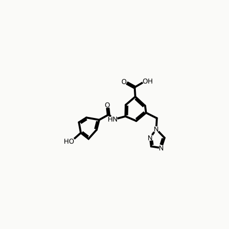 O=C(O)c1cc(Cn2cncn2)cc(NC(=O)c2ccc(O)cc2)c1